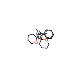 C[SiH](C)C1(C2([SiH](C)c3ccccc3)CCCCO2)CCCCO1